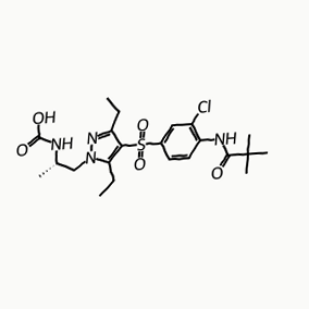 CCc1nn(C[C@H](C)NC(=O)O)c(CC)c1S(=O)(=O)c1ccc(NC(=O)C(C)(C)C)c(Cl)c1